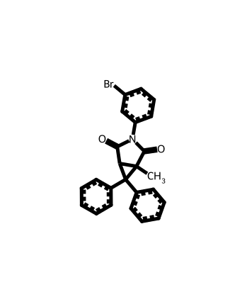 CC12C(=O)N(c3cccc(Br)c3)C(=O)C1C2(c1ccccc1)c1ccccc1